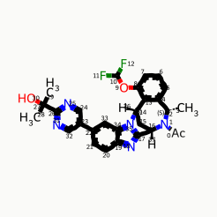 CC(=O)N1[C@@H](C)c2cccc(OC(F)F)c2[C@@H]2C[C@H]1c1nc3ccc(-c4cnc(C(C)(C)O)nc4)cc3n12